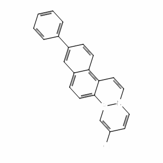 CC1=CB2c3ccc4cc(-c5ccccc5)ccc4c3C=CN2C=C1